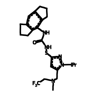 CC(C)n1nc(SNC(=O)Nc2c3c(cc4c2CCC4)CCC3)cc1CN(C)CC(F)(F)F